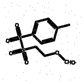 Cc1ccc(S(=O)(=O)S(=O)(=O)CCO[C]=O)cc1